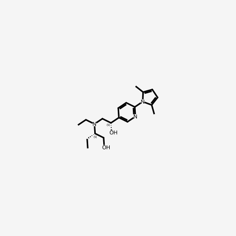 CC[C@@H](CO)N(CC)C[C@@H](O)c1ccc(-n2c(C)ccc2C)nc1